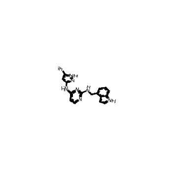 CC(C)c1cc(Nc2ccnc(NCc3cccc4[nH]ccc34)n2)n[nH]1